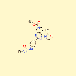 CCNC(=O)Nc1ccc(-c2nc3c(c(N4CCOCC4CC)n2)CCN(C(=O)OC(C)(C)C)C3)cc1